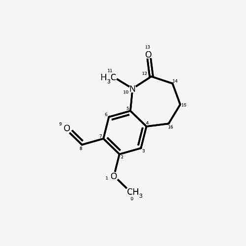 COc1cc2c(cc1C=O)N(C)C(=O)CCC2